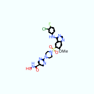 COc1cc2ncnc(Nc3ccc(F)c(Cl)c3)c2cc1S(=O)(=O)N1CCN(c2ncc(C(=O)NO)cn2)CC1